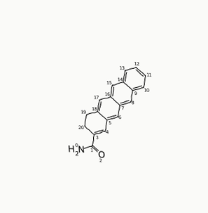 NC(=O)C1=Cc2cc3cc4ccccc4cc3cc2CC1